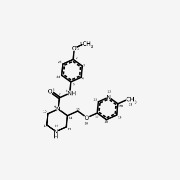 COc1ccc(NC(=O)N2CCNCC2COc2ccc(C)nc2)cc1